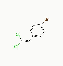 ClC(Cl)=Cc1ccc(Br)cc1